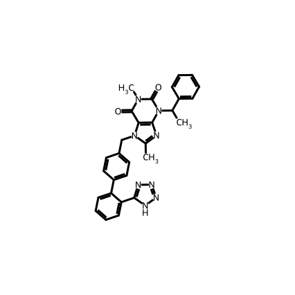 Cc1nc2c(c(=O)n(C)c(=O)n2C(C)c2ccccc2)n1Cc1ccc(-c2ccccc2-c2nnn[nH]2)cc1